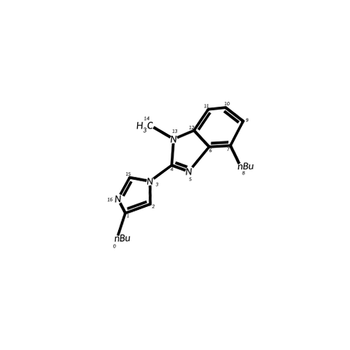 CCCCc1cn(-c2nc3c(CCCC)cccc3n2C)cn1